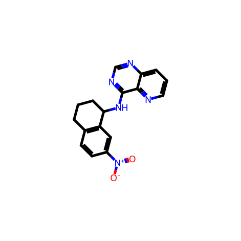 O=[N+]([O-])c1ccc2c(c1)C(Nc1ncnc3cccnc13)CCC2